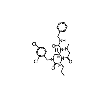 CCC[C@H]1C(=O)N(Cc2ccc(Cl)cc2Cl)C[C@H]2N1C(=O)CN(C)N2C(=O)NCc1ccccc1